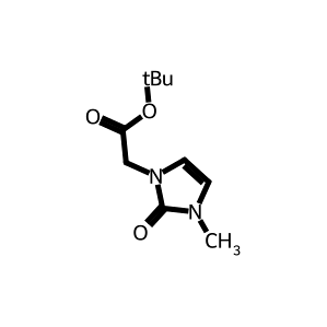 Cn1ccn(CC(=O)OC(C)(C)C)c1=O